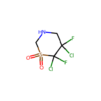 O=S1(=O)CNCC(F)(Cl)C1(F)Cl